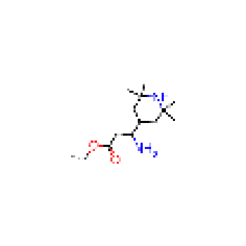 CCOC(=O)CC(N)C1CC(C)(C)NC(C)(C)C1